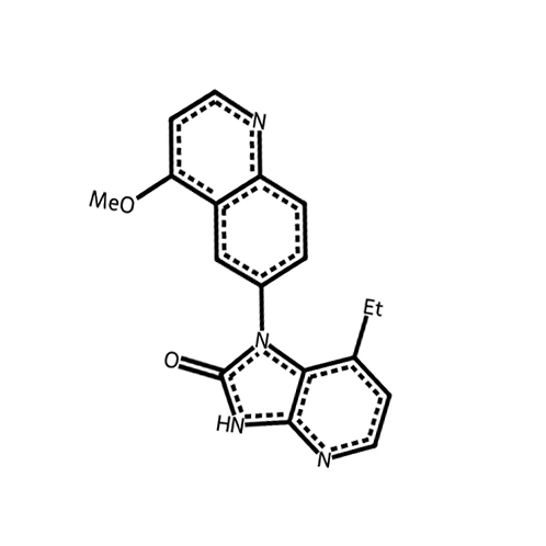 CCc1ccnc2[nH]c(=O)n(-c3ccc4nccc(OC)c4c3)c12